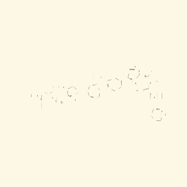 COC(=O)N[C@H](C(=O)N1CCC[C@H]1c1ncc(-c2ccc3c(c2)C(F)(F)c2cc(-c4cnc([C@@H]5C6CCC(C6)[C@H]5C(=O)NCc5cccnc5)[nH]4)ccc2-3)[nH]1)C(C)C